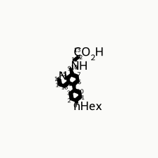 CCCCCCc1ccc(-c2ccc(CNCCC(=O)O)c3ncccc23)cc1